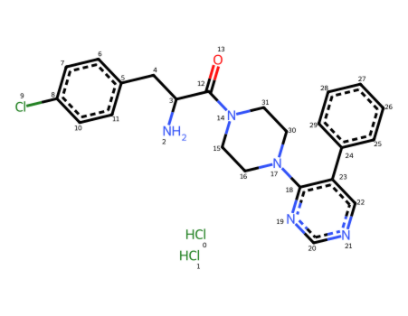 Cl.Cl.NC(Cc1ccc(Cl)cc1)C(=O)N1CCN(c2ncncc2-c2ccccc2)CC1